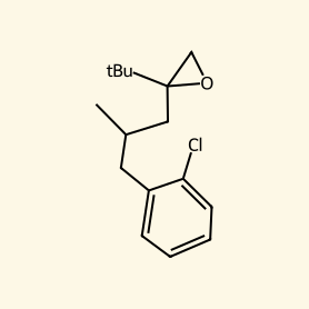 CC(Cc1ccccc1Cl)CC1(C(C)(C)C)CO1